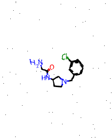 NCC(=O)NC1CCN(Cc2cccc(Cl)c2)C1